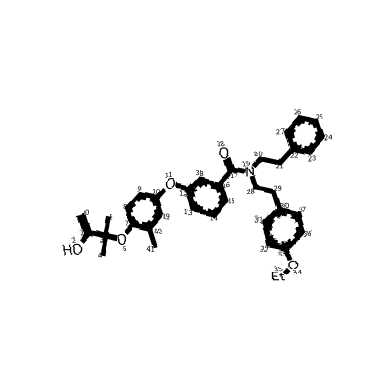 C=C(O)C(C)(C)Oc1ccc(Oc2cccc(C(=O)N(CCc3ccccc3)CCc3ccc(OCC)cc3)c2)cc1C